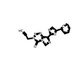 C#CCn1nnc2c(-c3ncc(-c4ccccc4)o3)ncn2c1=O